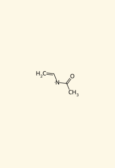 C=C[N]C(C)=O